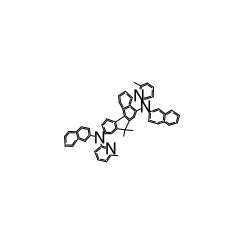 Cc1cccc(N(c2ccc3c(c2)C(C)(C)c2cc(N(c4ccc5ccccc5c4)c4cccc(C)n4)c4ccccc4c2-3)c2ccc3ccccc3c2)n1